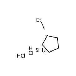 C1CCCC1.CCC.Cl.Cl.[SiH4]